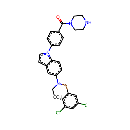 O=C(O)CN(Sc1cc(Cl)cc(Cl)c1)c1ccc2c(ccn2-c2ccc(C(=O)N3CCNCC3)cc2)c1